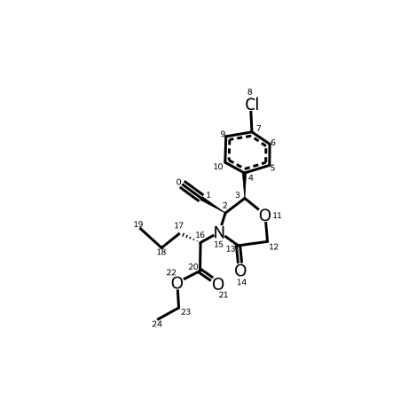 C#C[C@H]1[C@@H](c2ccc(Cl)cc2)OCC(=O)N1[C@@H](CCC)C(=O)OCC